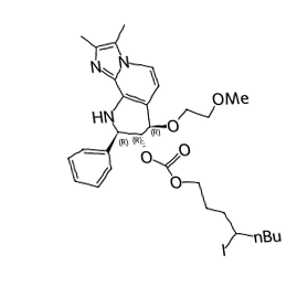 CCCCC(I)CCCOC(=O)O[C@@H]1[C@@H](c2ccccc2)Nc2c(ccn3c(C)c(C)nc23)[C@H]1OCCOC